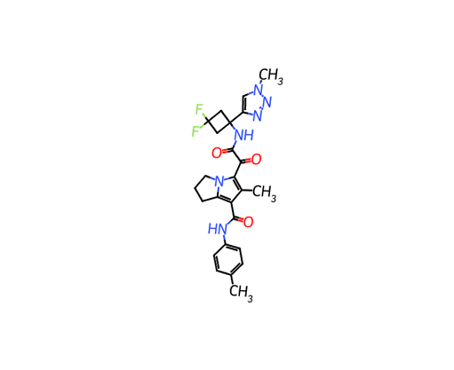 Cc1ccc(NC(=O)c2c(C)c(C(=O)C(=O)NC3(c4cn(C)nn4)CC(F)(F)C3)n3c2CCC3)cc1